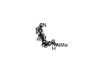 CNCCNC(=O)C1CCN(C(=O)c2ccc(NC(=O)c3ncc(-c4ccc(OCC#N)c(F)c4F)n3C)cc2Cl)CC1